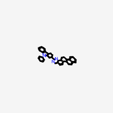 c1ccc(-n2c3ccccc3c3ccc(-c4ncc5ccc6c7ccc8ccccc8c7ccc6c5n4)cc32)cc1